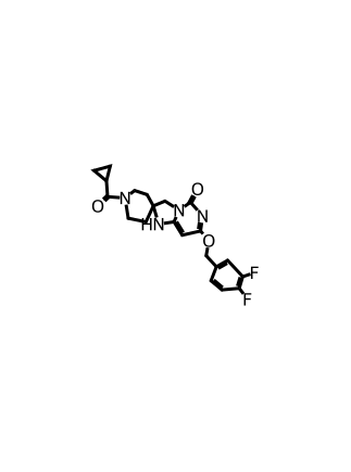 O=C(C1CC1)N1CCC2(CC1)Cn1c(cc(OCc3ccc(F)c(F)c3)nc1=O)N2